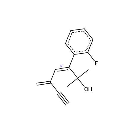 C#CC(=C)/C=C(/c1ccccc1F)C(C)(C)O